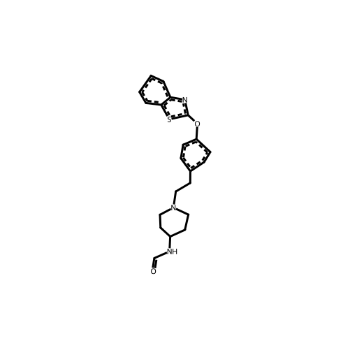 O=CNC1CCN(CCc2ccc(Oc3nc4ccccc4s3)cc2)CC1